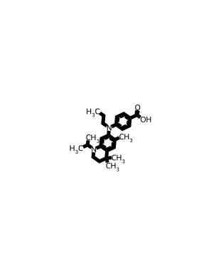 CCCN(c1ccc(C(=O)O)cc1)c1cc2c(cc1C)C(C)(C)CCN2C(C)C